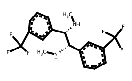 CN[C@@H](c1cccc(C(F)(F)F)c1)[C@@H](NC)c1cccc(C(F)(F)F)c1